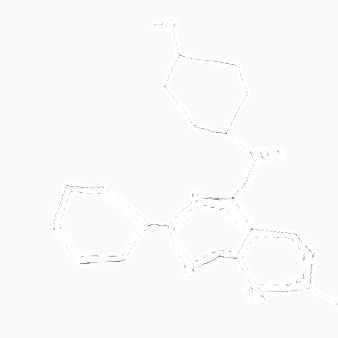 Cc1cc2c(NC3CCC(O)CC3)nc(-c3ccccc3)nc2[nH]1